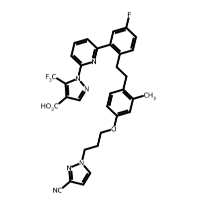 Cc1cc(OCCCn2ccc(C#N)n2)ccc1CCc1ccc(F)cc1-c1cccc(-n2ncc(C(=O)O)c2C(F)(F)F)n1